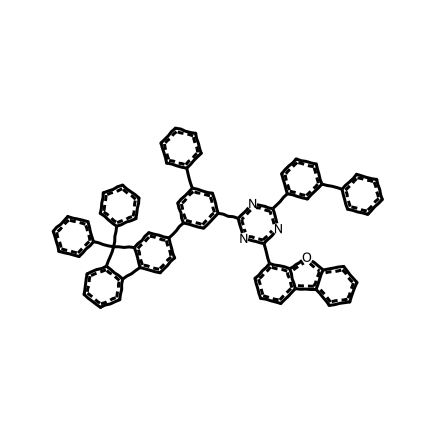 c1ccc(-c2cccc(-c3nc(-c4cc(-c5ccccc5)cc(-c5ccc6c(c5)C(c5ccccc5)(c5ccccc5)c5ccccc5-6)c4)nc(-c4cccc5c4oc4ccccc45)n3)c2)cc1